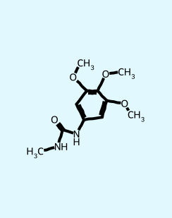 CNC(=O)Nc1cc(OC)c(OC)c(OC)c1